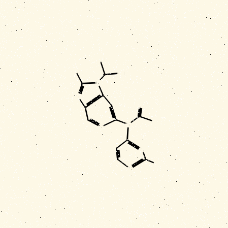 Cc1nc2cnc(N(C(=O)O)c3ccnc(Cl)n3)cc2n1C(C)C